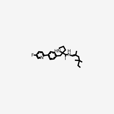 CCC(C)(C)C/C(C)=C/NC(I)C1(Cc2ccc(-c3ccc(F)cn3)cc2)CCCN1